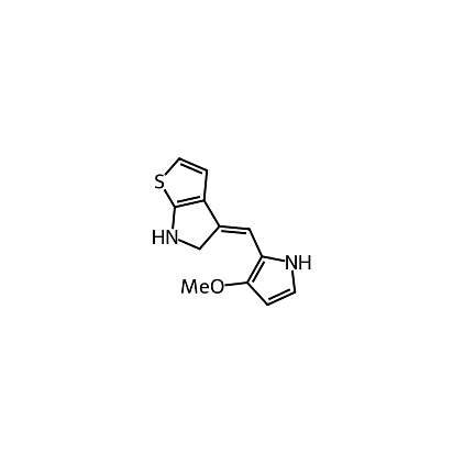 COc1cc[nH]c1C=C1CNc2sccc21